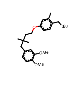 COc1ccc(CC(C)(C)CCOc2ccc(CC(C)(C)C)c(C)c2)cc1OC